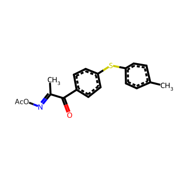 CC(=O)O/N=C(\C)C(=O)c1ccc(Sc2ccc(C)cc2)cc1